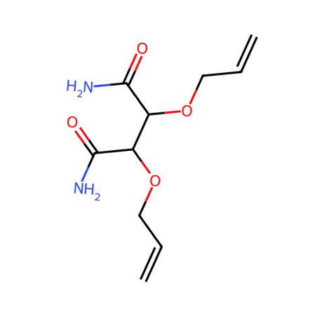 C=CCOC(C(N)=O)C(OCC=C)C(N)=O